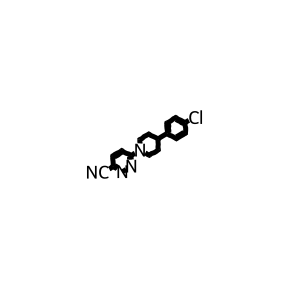 N#Cc1ccc(N2CCC(c3ccc(Cl)cc3)CC2)nn1